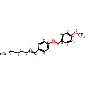 CCCCCCCCCCCCCC/N=C/c1ccc(OCc2ccc(OC(F)(F)F)cc2)cc1